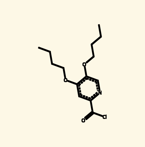 CCCCOc1cnc(C(=O)Cl)cc1OCCCC